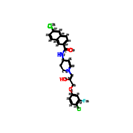 O=C(NC1CCN(C[C@H](O)COc2ccc(Cl)c(F)c2)CC1)c1ccc2cc(Cl)ccc2c1